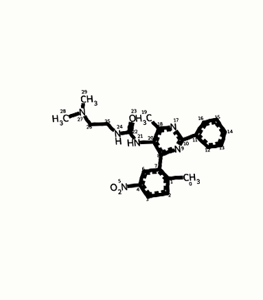 Cc1ccc([N+](=O)[O-])cc1-c1nc(-c2ccccc2)nc(C)c1NC(=O)NCCN(C)C